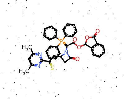 Cc1cc(C)nc(C(=S)CC2CC(=O)N2C(C(=O)OC2OC(=O)c3ccccc32)=P(c2ccccc2)(c2ccccc2)c2ccccc2)n1